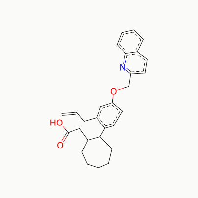 C=CCc1cc(OCc2ccc3ccccc3n2)ccc1C1CCCCCC1CC(=O)O